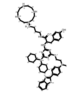 CN(CCOc1nc(NC(Cc2ccc(O)cc2)C(=O)NCCC[SiH2]N2CCNCCNCCNCC2)nc(N(C2CCCCC2)C2CCCCC2)n1)c1ccc(-c2nc3ccccc3s2)cc1